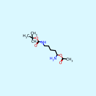 CC(=O)OC(N)CCCCNC(=O)OC(C)(C)C